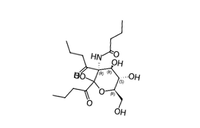 CCCC(=O)N[C@]1(C(=O)CCC)[C@@H](O)[C@H](O)[C@@H](CO)OC1(O)C(=O)CCC